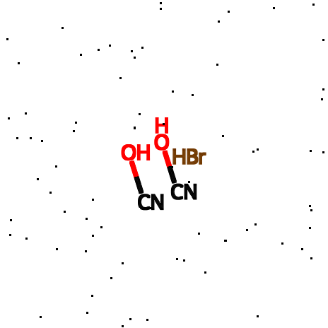 Br.N#CO.N#CO